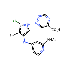 CCc1c(Nc2ccnc(NC(C)=O)c2)c[nH]c1Cl.O=C(O)c1cnncn1